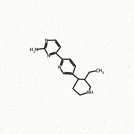 CCC1CNCCC1c1ccc(-c2ccnc(N)n2)nc1